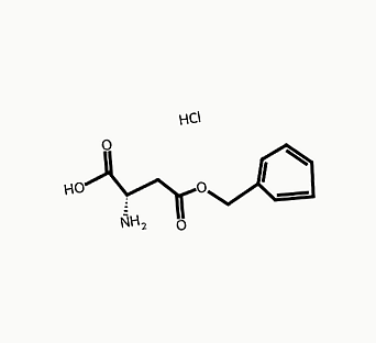 Cl.N[C@@H](CC(=O)OCc1ccccc1)C(=O)O